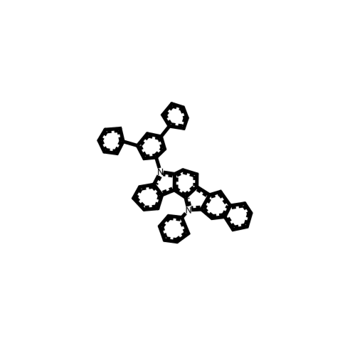 c1ccc(-c2cc(-c3ccccc3)cc(-n3c4ccccc4c4c3ccc3c5cc6ccccc6cc5n(-c5ccccc5)c34)c2)cc1